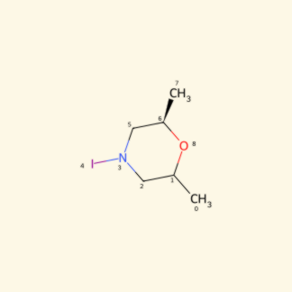 CC1CN(I)C[C@@H](C)O1